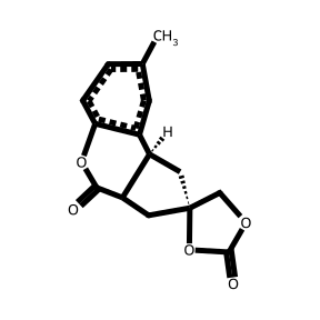 Cc1ccc2c(c1)[C@H]1C[C@@]3(COC(=O)O3)CC1C(=O)O2